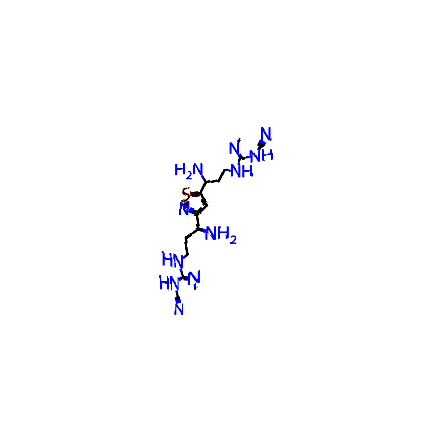 CN=C(NC#N)NCCC(N)c1cc(C(N)CCNC(=NC)NC#N)sn1